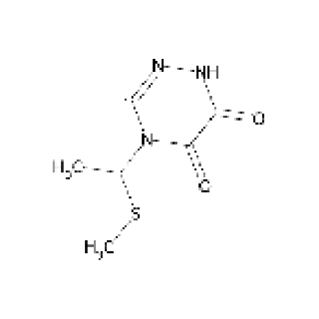 CSC(C)n1[c]n[nH]c(=O)c1=O